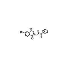 O=C(CN1CC2(CC2)c2cc(Br)ccc2C1=O)Nc1cc2ccc1o2